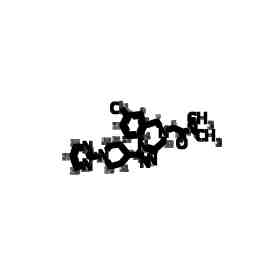 CN(C)C(=O)CN1Cc2cc(Cl)ccc2-n2c(nnc2C2CCN(c3ncccn3)CC2)C1